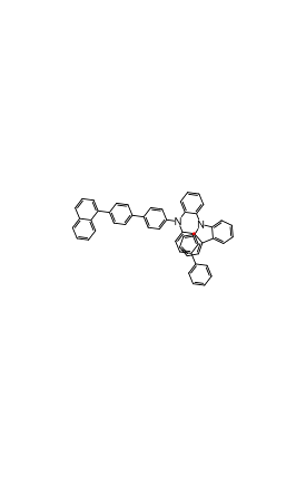 c1ccc(-c2ccc(N(c3ccc(-c4ccc(-c5cccc6ccccc56)cc4)cc3)c3ccccc3-n3c4ccccc4c4ccccc43)cc2)cc1